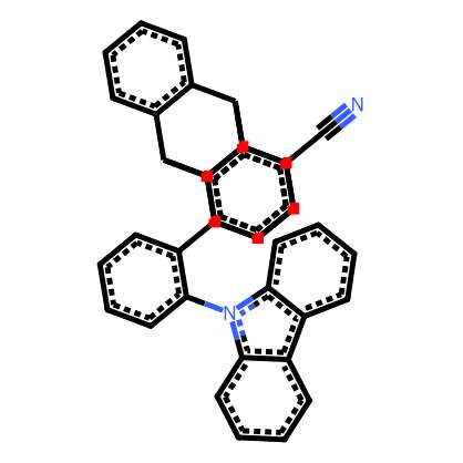 N#Cc1ccc(-c2ccccc2-n2c3ccccc3c3ccccc32)c2c1C1c3ccccc3C2c2ccccc21